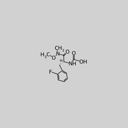 CON(C)C(=O)[C@@H](Cc1ccccc1F)NC(=O)O